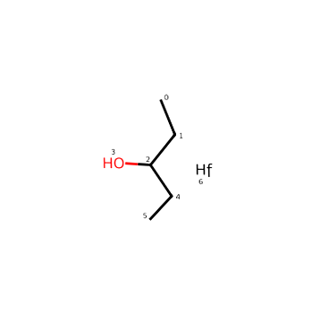 CCC(O)CC.[Hf]